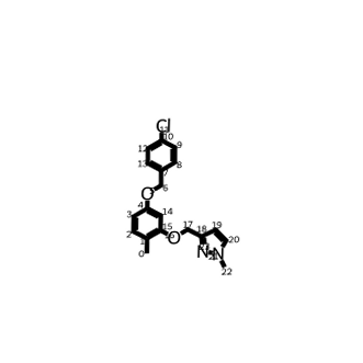 Cc1ccc(OCc2ccc(Cl)cc2)cc1OCc1ccn(C)n1